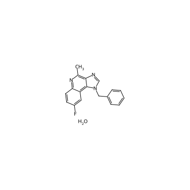 Cc1nc2ccc(F)cc2c2c1ncn2Cc1ccccc1.O